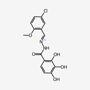 COc1ccc(Cl)cc1/C=N/NC(=O)c1ccc(O)c(O)c1O